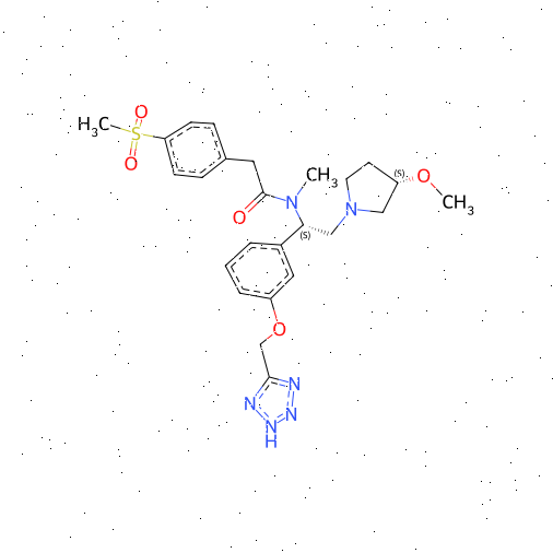 CO[C@H]1CCN(C[C@H](c2cccc(OCc3nn[nH]n3)c2)N(C)C(=O)Cc2ccc(S(C)(=O)=O)cc2)C1